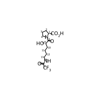 O=C(O)[C@@H]1CCCN1C(=O)[C@@H](O)CCCCNC(=O)C(F)(F)F